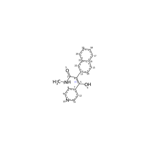 CNC(=O)/C(=C(/O)c1ccncc1)c1ccc2ccccc2c1